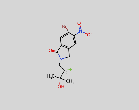 CC(C)(O)[C@@H](F)CN1Cc2cc([N+](=O)[O-])c(Br)cc2C1=O